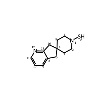 SN1CCC2(CC1)Cc1cccnc1C2